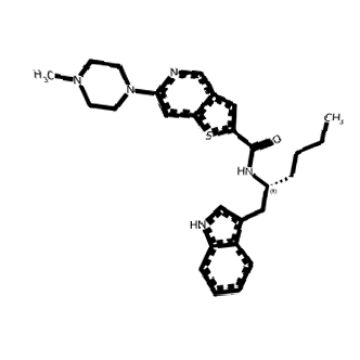 CCCC[C@H](Cc1c[nH]c2ccccc12)NC(=O)c1cc2cnc(N3CCN(C)CC3)cc2s1